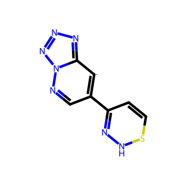 [c]1c(C2=NNSC=C2)cnn2nnnc12